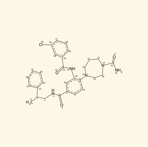 CC(CNC(=O)c1ccc(N2CCCN(C(N)=O)CC2)c(NC(=O)c2cccc(Cl)c2)c1)c1ccccc1